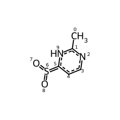 Cc1nccc(=S(=O)=O)[nH]1